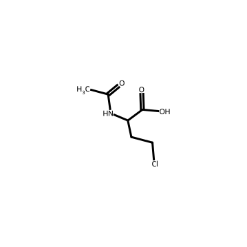 CC(=O)NC(CCCl)C(=O)O